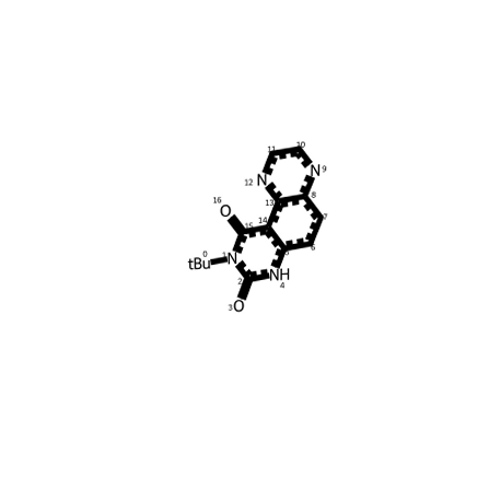 CC(C)(C)n1c(=O)[nH]c2ccc3nccnc3c2c1=O